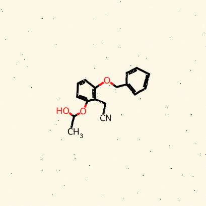 CC(O)Oc1cccc(OCc2ccccc2)c1CC#N